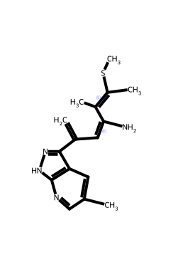 C=C(/C=C(N)\C(C)=C(/C)SC)c1n[nH]c2ncc(C)cc12